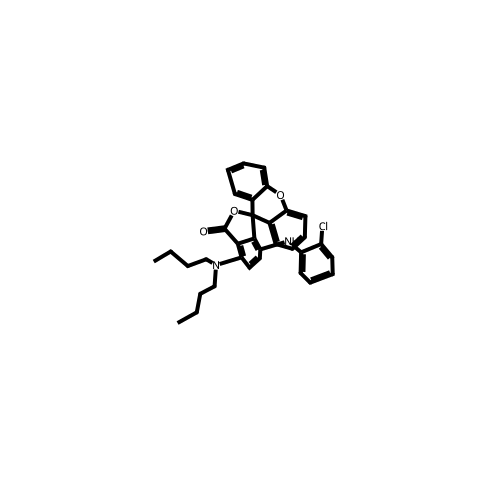 CCCCN(CCCC)c1ccc(Nc2ccccc2Cl)c2c1C(=O)OC21c2ccccc2Oc2ccccc21